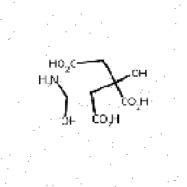 NCO.O=C(O)CC(O)(CC(=O)O)C(=O)O